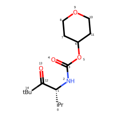 CC(C)[C@@H](NC(=O)OC1CCOCC1)C(=O)C(C)(C)C